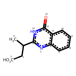 CC(CC(=O)O)c1nc2ccccc2c(=O)[nH]1